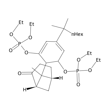 CCCCCCC(C)(C)C1=CC(OP(=O)(OCC)OCC)C(C2(C)[C@@H]3CCC(=O)[C@H]2C3)C(OP(=O)(OCC)OCC)=C1